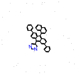 c1ccc(-c2ccc3c(-c4cccc5ccccc45)c4cc(-c5ccccc5)ccc4c(-c4cncnc4)c3c2)cc1